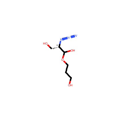 [N-]=[N+]=N[C@@H](CO)C(O)OCCCO